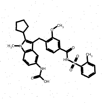 COc1cc(C(=O)NS(=O)(=O)c2ccccc2C)ccc1Cc1c(C2CCCC2)n(C)c2ccc(NC(=O)O)cc12